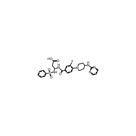 O=C(O)CC(NC(=O)c1ccc(N2CCC(Nc3ncccn3)CC2)c(F)c1)NS(=O)(=O)c1ccccc1